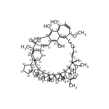 COC1C#CC(O)=c2c(O)c3c(/C=N/N4CCN(C5CCCC5)CC4)c(O)c2=C1CO/C=C/[C@H](OC)[C@@H](C)[C@@H](OC(C)=O)[C@H](C)[C@H](O)[C@H](C)[C@@H](O)[C@@H](C)/C=C/C=C(/C)C(=O)N3